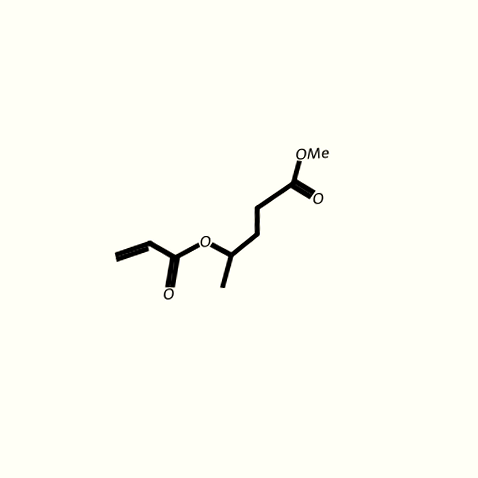 C=CC(=O)OC(C)CCC(=O)OC